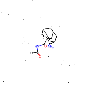 CCC(=O)NC(=O)C12CC3CC(CC(C3)C1N)C2